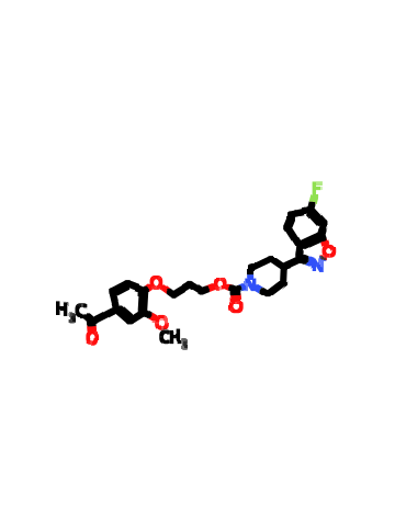 COc1cc(C(C)=O)ccc1OCCCOC(=O)N1CCC(c2noc3cc(F)ccc23)CC1